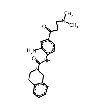 CN(C)CCC(=O)c1ccc(NC(=O)N2CCc3ccccc3C2)c(N)c1